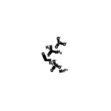 NC(N)=S.NC=O.O=[N+]([O-])[O-].O=[N+]([O-])[O-].[Mn+2]